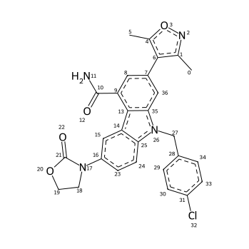 Cc1noc(C)c1-c1cc(C(N)=O)c2c3cc(N4CCOC4=O)ccc3n(Cc3ccc(Cl)cc3)c2c1